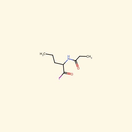 CCCC(NC(=O)CC)C(=O)I